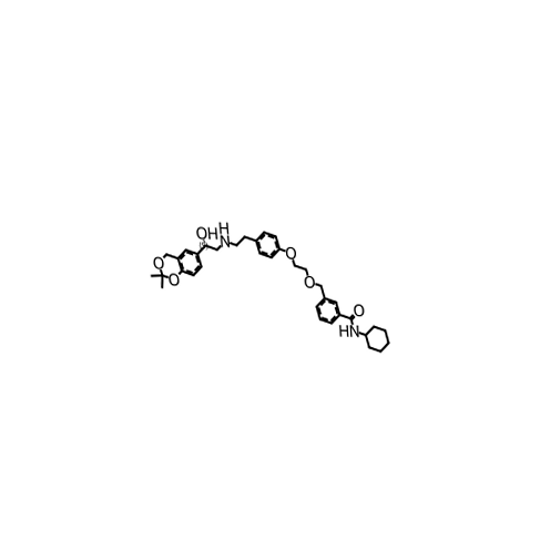 CC1(C)OCc2cc([C@H](O)CNCCc3ccc(OCCOCc4cccc(C(=O)NC5CCCCC5)c4)cc3)ccc2O1